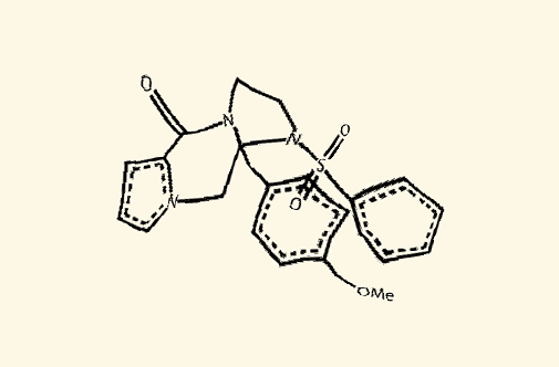 COc1ccc(C23Cn4cccc4C(=O)N2CCN3S(=O)(=O)c2ccccc2)cc1